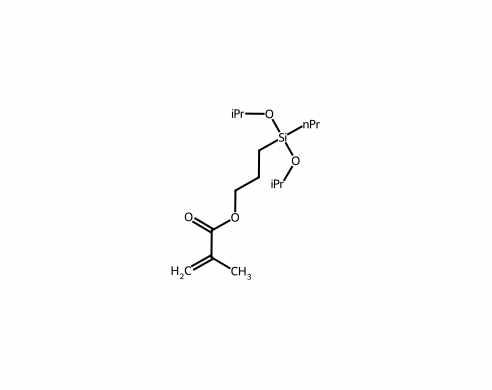 C=C(C)C(=O)OCCC[Si](CCC)(OC(C)C)OC(C)C